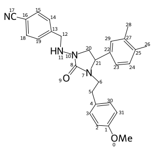 COc1ccc(CCN2C(=O)N(NCc3ccc(C#N)cc3)CC2c2ccc(C)c(C)c2)cc1